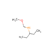 CCC(CC)PCOC